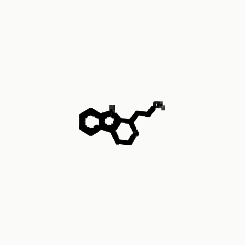 CCCC1OCCc2c1[nH]c1ccccc21